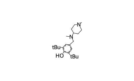 CN1CCC(N(C)Cc2cc(C(C)(C)C)c(O)c(C(C)(C)C)c2)CC1